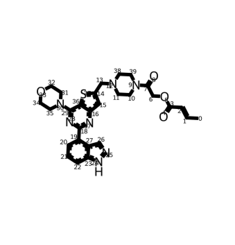 CC=CC(=O)OCC(=O)N1CCN(Cc2cc3nc(-c4cccc5[nH]ncc45)nc(N4CCOCC4)c3s2)CC1